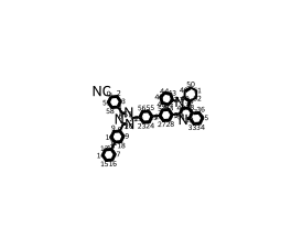 N#Cc1ccc(-c2nc(-c3ccc(-c4ccccc4)cc3)nc(-c3ccc(-c4ccc(-c5nc6ccccc6c6c7c(n(-c8ccccc8)c56)C=CCC7)cc4)cc3)n2)cc1